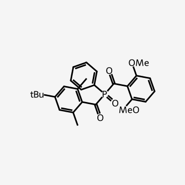 COc1cccc(OC)c1C(=O)P(=O)(C(=O)c1c(C)cc(C(C)(C)C)cc1C)c1ccccc1